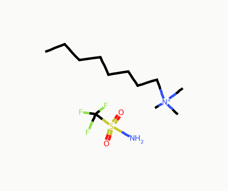 CCCCCCCC[N+](C)(C)C.NS(=O)(=O)C(F)(F)F